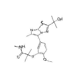 CNC(=O)C(C)(C)Sc1cc(-c2c(C)nc3sc(C(C)(C)O)nn23)ccc1OC